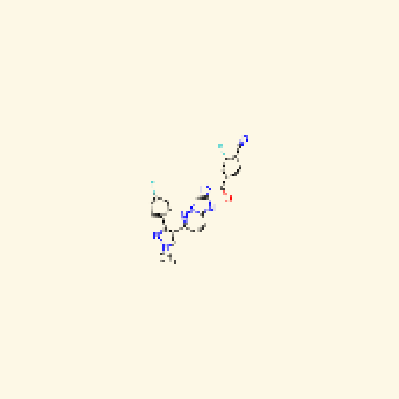 Cn1cc(-c2ccc3nc(NC(=O)c4ccc(C#N)c(F)c4)cn3n2)c(-c2ccc(F)cc2)n1